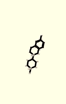 Cc1ccc2c(c1)CCN(C1CCN(C)CC1)C2